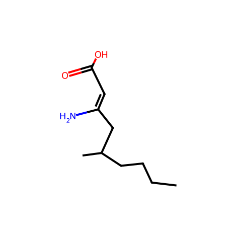 CCCCC(C)CC(N)=CC(=O)O